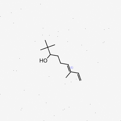 C=C/C(C)=C/CCC(O)C(C)(C)C